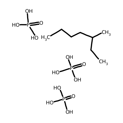 CCCCC(C)CC.O=P(O)(O)O.O=P(O)(O)O.O=P(O)(O)O